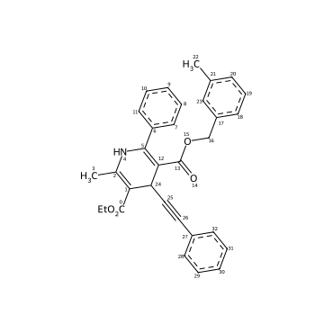 CCOC(=O)C1=C(C)NC(c2ccccc2)=C(C(=O)OCc2cccc(C)c2)C1C#Cc1ccccc1